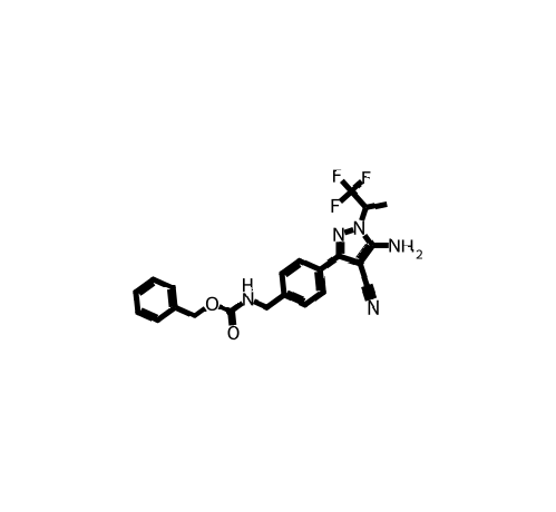 CC(n1nc(-c2ccc(CNC(=O)OCc3ccccc3)cc2)c(C#N)c1N)C(F)(F)F